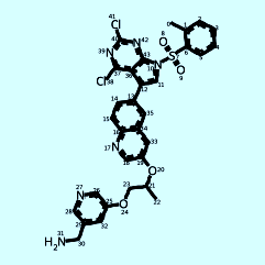 Cc1ccccc1S(=O)(=O)n1cc(-c2ccc3ncc(OC(C)COc4cncc(CN)c4)cc3c2)c2c(Cl)nc(Cl)nc21